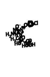 C[C@@H]1[C@H](O)[C@@H](COP(=O)(O)O)O[C@H]1n1c[n+](CCOc2ccc(Cl)cc2)c2c([O-])nc(N)nc21